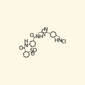 O=C(NCc1cnc(-c2ccc(CNCl)cc2)s1)c1ccc2c(c1)NC(=O)c1ccccc1S2(=O)=O